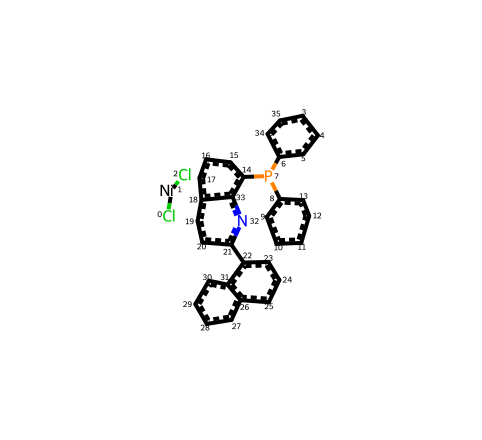 [Cl][Ni][Cl].c1ccc(P(c2ccccc2)c2cccc3ccc(-c4cccc5ccccc45)nc23)cc1